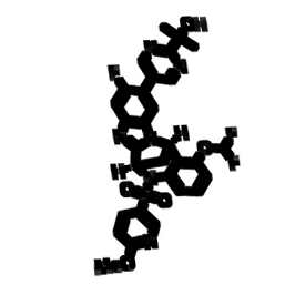 COc1ccc(S(=O)(=O)N2c3cccc(OC(F)F)c3[C@H]3C[C@@H]2c2nc4cc(F)c(-c5cnc(C(C)(C)O)nc5)cc4n23)cn1